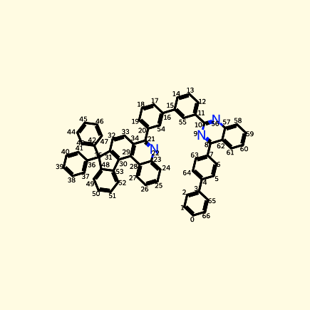 c1ccc(-c2ccc(-c3nc(-c4cccc(-c5cccc(-c6nc7ccccc7c7c8c(ccc67)C(c6ccccc6)(c6ccccc6)c6ccccc6-8)c5)c4)nc4ccccc34)cc2)cc1